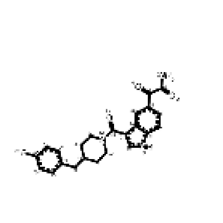 NC(=O)C(=O)c1ccc2[nH]cc(C(=O)N3CCC(Cc4ccc(F)cc4)CC3)c2c1